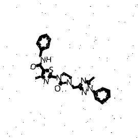 Cc1nc(N2CCN(Cc3nc(C)n(-c4ccccc4)n3)C2=O)sc1C(=O)NCc1ccccc1